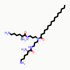 CCCCCCCCCCCCCCCC(=O)N(CCCNC(=O)[C@@H](N)CCCCN)CCCNC(=O)[C@@H](N)CCCCN